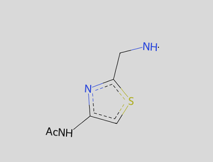 CC(=O)Nc1csc(C[NH])n1